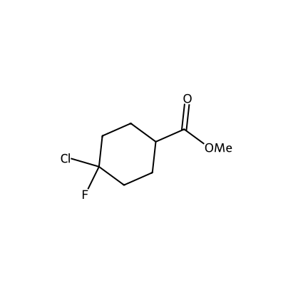 COC(=O)C1CCC(F)(Cl)CC1